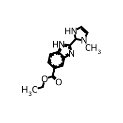 CCOC(=O)c1ccc2[nH]c(C3NC=CN3C)nc2c1